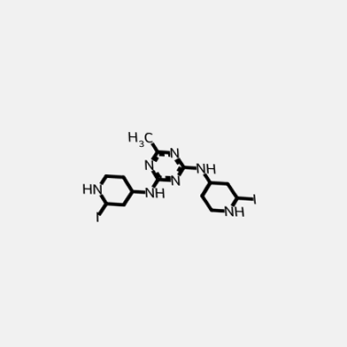 Cc1nc(NC2CCNC(I)C2)nc(NC2CCNC(I)C2)n1